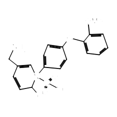 CCS(=O)(=O)[N+]1(c2ccc(Oc3ccccc3OC)cc2)C=C(CN)C=CC1Cl